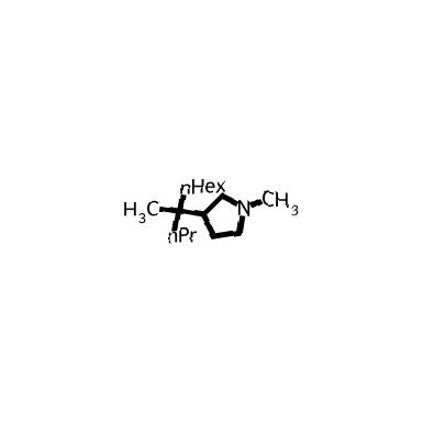 CCCCCCC(C)(CCC)C1CCN(C)C1